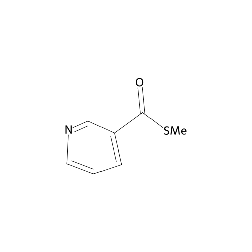 CSC(=O)c1cccnc1